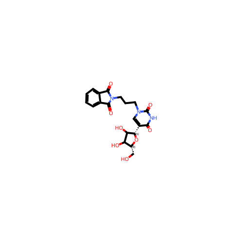 O=C1c2ccccc2C(=O)N1CCCn1cc([C@@H]2O[C@H](CO)C(O)C2O)c(=O)[nH]c1=O